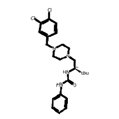 CC(C)(C)[C@H](CN1CCN(Cc2ccc(Cl)c(Cl)c2)CC1)NC(=O)Nc1ccccc1